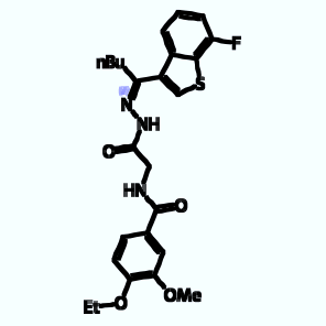 CCCC/C(=N/NC(=O)CNC(=O)c1ccc(OCC)c(OC)c1)c1csc2c(F)cccc12